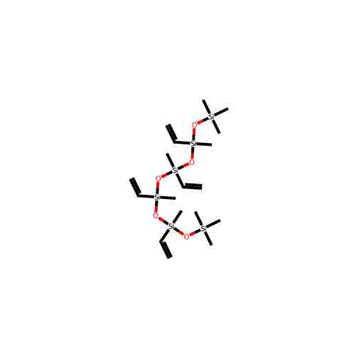 C=C[Si](C)(O[Si](C)(C)C)O[Si](C)(C=C)O[Si](C)(C=C)O[Si](C)(C=C)O[Si](C)(C)C